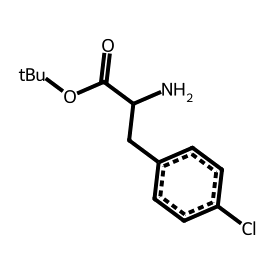 CC(C)(C)OC(=O)C(N)Cc1ccc(Cl)cc1